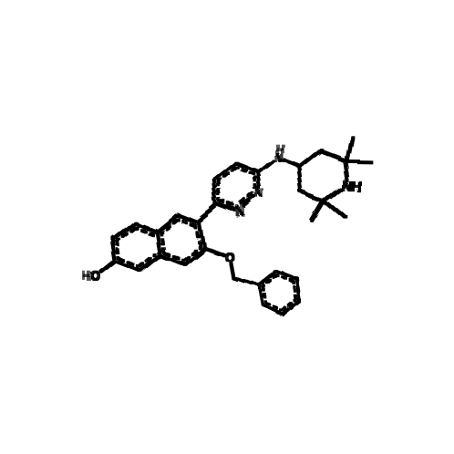 CC1(C)CC(Nc2ccc(-c3cc4ccc(O)cc4cc3OCc3ccccc3)nn2)CC(C)(C)N1